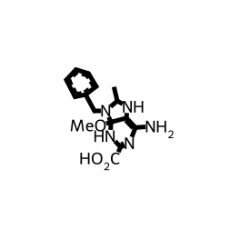 COC12NC(C(=O)O)=NC(N)=C1NC(C)N2Cc1ccccc1